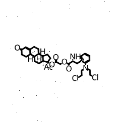 CC(=O)[C@@]1(OC(=O)COC(=O)[C@@H](N)Cc2ccccc2N(CCCl)CCCl)CC[C@H]2[C@@H]3CCC4=CC(=O)CC[C@]4(C)[C@H]3CC[C@@]21C